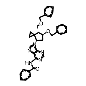 O=C(Nc1ncnc2c1ncn2[C@H]1C[C@H](OCc2ccccc2)[C@@H](COCc2ccccc2)C12CC2)c1ccccc1